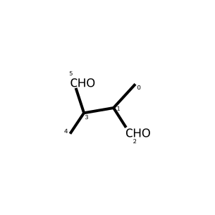 CC(C=O)C(C)C=O